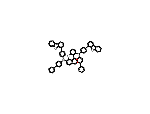 c1ccc(-c2ccc(N(c3ccc(-c4cccc5c4oc4ccccc45)cc3)c3cccc4c3-c3cccc5ccc(N(c6ccc(-c7ccccc7)cc6)c6ccc(-c7cccc8c7oc7ccccc78)cc6)c(c35)O4)cc2)cc1